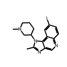 Cc1nc2cnc3ccc(I)cc3c2n1C1CCCN(C)C1